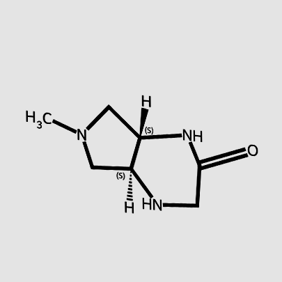 CN1C[C@@H]2NCC(=O)N[C@H]2C1